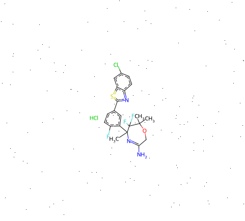 CC1(C)OCC(N)=NC(C)(c2cc(-c3nc4ccc(Cl)cc4s3)ccc2F)C1(F)F.Cl